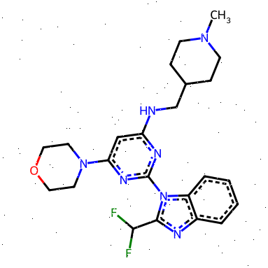 CN1CCC(CNc2cc(N3CCOCC3)nc(-n3c(C(F)F)nc4ccccc43)n2)CC1